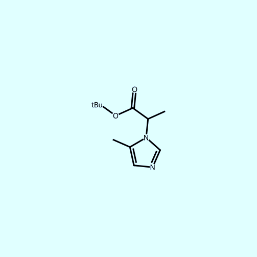 Cc1cncn1C(C)C(=O)OC(C)(C)C